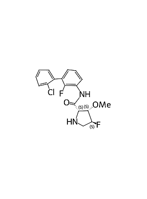 CO[C@H]1[C@@H](C(=O)Nc2cccc(-c3ccccc3Cl)c2F)NC[C@@H]1F